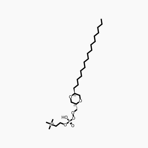 CCCCCCCCCCCCCCCCC[C@H]1CO[C@H](COOP(=O)(O)OCC[N+](C)(C)C)CO1